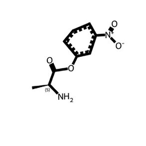 C[C@H](N)C(=O)Oc1cccc([N+](=O)[O-])c1